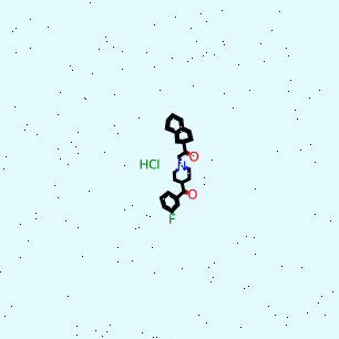 Cl.O=C(CN1CCC(C(=O)c2cccc(F)c2)CC1)c1ccc2ccccc2c1